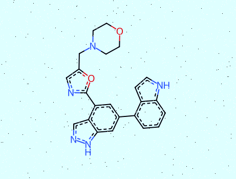 c1cc(-c2cc(-c3ncc(CN4CCOCC4)o3)c3cn[nH]c3c2)c2cc[nH]c2c1